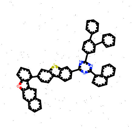 c1ccc(-c2ccc(-c3nc(-c4ccc5c(c4)sc4cc(-c6cccc7oc8cc9ccccc9cc8c67)ccc45)nc(-c4cccc5ccccc45)n3)cc2-c2ccccc2)cc1